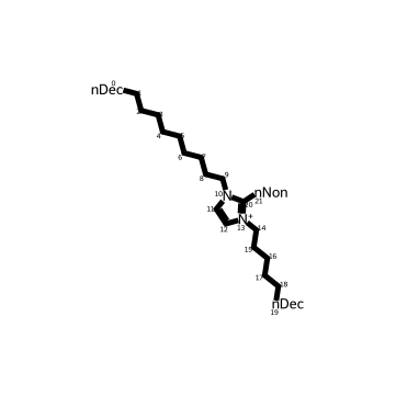 CCCCCCCCCCCCCCCCCCCn1cc[n+](CCCCCCCCCCCCCCC)c1CCCCCCCCC